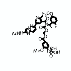 COc1cc(C(=O)OCOC(=O)N(C(=O)c2cc(-c3ccc4nc(NC(C)=O)cn4n3)cnc2C)[C@H](C)c2cc(OC(F)(F)F)ccc2F)ccc1OP(=O)(O)O